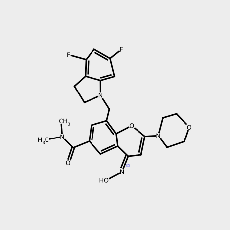 CN(C)C(=O)c1cc(CN2CCc3c(F)cc(F)cc32)c2oc(N3CCOCC3)c/c(=N/O)c2c1